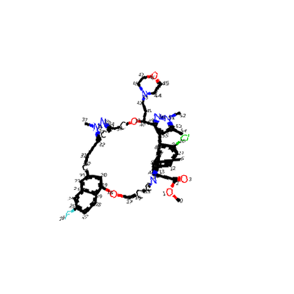 COC(=O)c1c(C)c2c3c(Cl)ccc2n1CCCOc1cc(cc2cc(F)ccc12)CCc1cc(nn1C)COC(CCN1CCOCC1)c1nn(C)c(C)c1-3